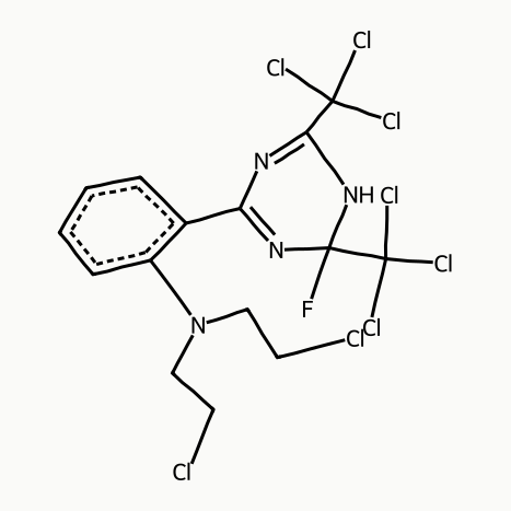 FC1(C(Cl)(Cl)Cl)N=C(c2ccccc2N(CCCl)CCCl)N=C(C(Cl)(Cl)Cl)N1